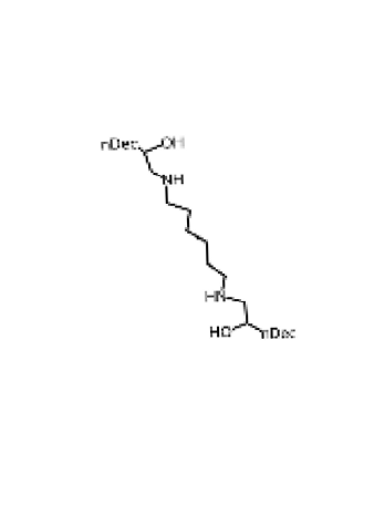 CCCCCCCCCCC(O)CNCCCCCCNCC(O)CCCCCCCCCC